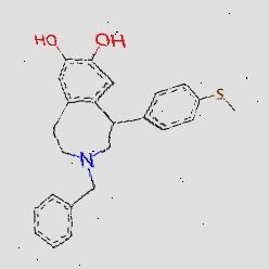 CSc1ccc(C2CN(Cc3ccccc3)CCc3cc(O)c(O)cc32)cc1